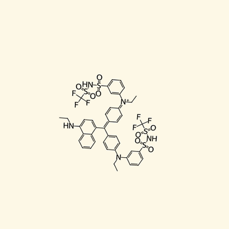 CCNc1ccc(C(=C2C=CC(=[N+](CC)c3cccc(S(=O)(=O)NS(=O)(=O)C(F)(F)F)c3)C=C2)c2ccc(N(CC)c3cccc(S(=O)(=O)NS(=O)(=O)C(F)(F)F)c3)cc2)c2ccccc12